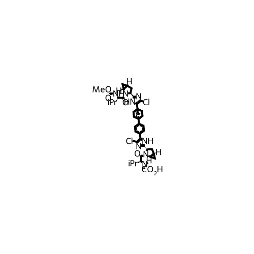 COC(=O)N[C@H](C(=O)N1[C@@H]2C[C@@H]2C[C@H]1c1nc(Cl)c(C23CCC(c4ccc(-c5[nH]c([C@@H]6C[C@H]7C[C@H]7N6C(=O)[C@H](C(C)C)N(C)C(=O)O)nc5Cl)cc4)(CC2)CC3)[nH]1)C(C)C